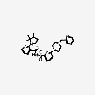 CC1CCN(c2ncccc2C(=O)NS(=O)(=O)c2cccc(N3CCN(Cc4ccccn4)CC3)n2)C1(C)C